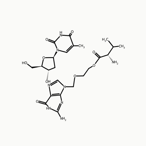 CC(C)[C@H](N)C(=O)OCCOCn1cnc2c(=O)[nH]c(N)nc21.Cc1cn([C@H]2C[C@H](O)[C@@H](CO)O2)c(=O)[nH]c1=O